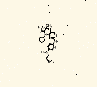 CCN(CCNC)c1ccc(Nc2ncc3c(n2)N(C2CCCC2)C(=O)C(C)(C)O3)nc1